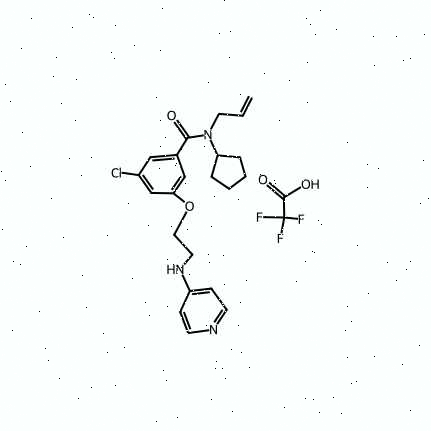 C=CCN(C(=O)c1cc(Cl)cc(OCCNc2ccncc2)c1)C1CCCC1.O=C(O)C(F)(F)F